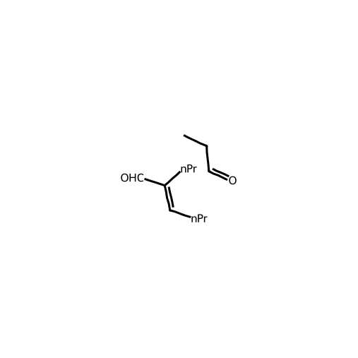 CCC=O.CCCC=C(C=O)CCC